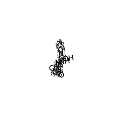 CN1CCC2(CC1)CCN(c1ccc(Nc3ncc(Cl)c(N(C)c4ccccc4P(C)(C)=O)n3)c(O)c1)CC2